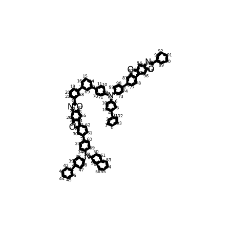 c1ccc(-c2ccc(N(c3ccc(-c4cccc(-c5cccc(-c6nc7cc8oc9cc(-c%10ccc(N(c%11ccc(-c%12ccccc%12)cc%11)c%11ccc%12ccccc%12c%11)cc%10)ccc9c8cc7o6)c5)c4)cc3)c3ccc(-c4ccc5c(c4)oc4cc6nc(-c7ccccc7)oc6cc45)cc3)cc2)cc1